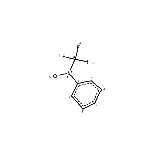 [O-][S+](c1c[c]ccc1)C(F)(F)F